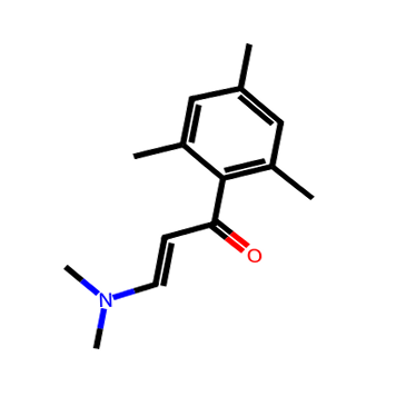 Cc1cc(C)c(C(=O)C=CN(C)C)c(C)c1